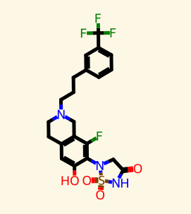 O=C1CN(c2c(O)cc3c(c2F)CN(CCCc2cccc(C(F)(F)F)c2)CC3)S(=O)(=O)N1